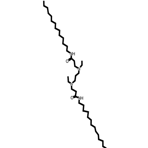 CCCCCCCCCCCCCCNC(=O)CCN(CC)CCCN(CC)CCC(=O)NCCCCCCCCCCCCCC